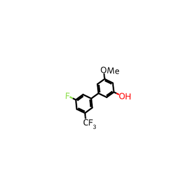 COc1cc(O)cc(-c2cc(F)cc(C(F)(F)F)c2)c1